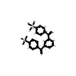 C=C(c1ccc([Si](C)(C)C)cc1)c1cccc(C(=C)c2ccc([Si](C)(C)C)cc2)c1